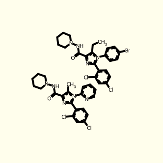 CCc1c(C(=O)NN2CCCCC2)nc(-c2ccc(Cl)cc2Cl)n1-c1ccc(Br)cc1.Cc1c(C(=O)NN2CCCCC2)nc(-c2ccc(Cl)cc2Cl)n1-c1ccccn1